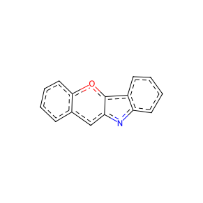 c1ccc2oc3c4ccccc4nc-3cc2c1